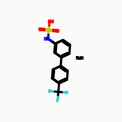 O=S(=O)(O)Nc1cccc(-c2ccc(C(F)(F)F)cc2)c1.[NaH]